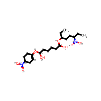 CCC(CCC(CC)[N+](=O)[O-])OC(O)CCCCC(O)OC1=CCC([N+](=O)[O-])CC1